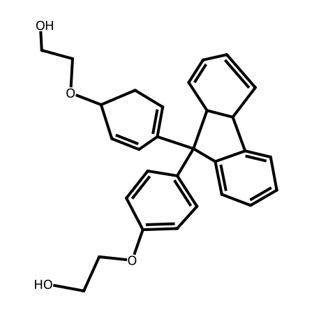 OCCOc1ccc(C2(C3=CCC(OCCO)C=C3)c3ccccc3C3C=CC=CC32)cc1